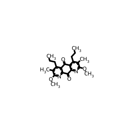 CCCc1c(C)c(OC)nc2c1C(=O)c1c(nc(OC)c(C)c1CCC)C2=O